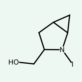 OCC1CC2CC2N1I